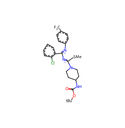 CS/C(=N\C(=N\c1ccc(C(F)(F)F)cc1)c1ccccc1Cl)N1CCC(NC(=O)OC(C)(C)C)CC1